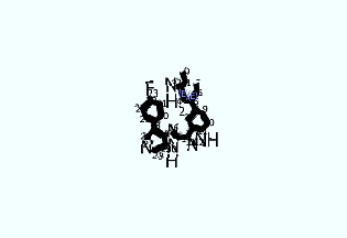 C=C/C(N)=C\C(=C/C)c1ccc2[nH]nc(-c3nc4c(-c5ccc(F)cc5)cncc4[nH]3)c2c1